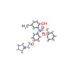 [CH2]c1ccc(O)c(N(c2ccc(OCCN3CCCC3)cc2)S(=O)(=O)Cc2ccccc2)c1